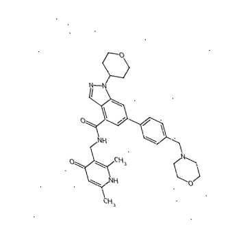 Cc1cc(=O)c(CNC(=O)c2cc(-c3ccc(CN4CCOCC4)cc3)cc3c2cnn3C2CCOCC2)c(C)[nH]1